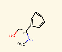 O=CN[C@H](CO)c1ccccc1